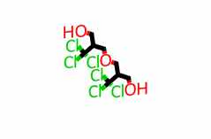 OCC(COCC(CO)C(Cl)(Cl)Cl)C(Cl)(Cl)Cl